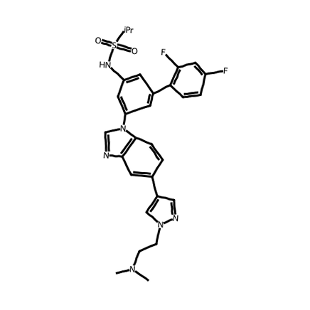 CC(C)S(=O)(=O)Nc1cc(-c2ccc(F)cc2F)cc(-n2cnc3cc(-c4cnn(CCN(C)C)c4)ccc32)c1